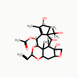 C=CC1OC2CC3OC[C@@]3(O)[C@H]3[C@H](O)C4(C(C)(C)O)C[C@H](O)C(C)=C4[C@H](OC(C)=O)[C@H](O1)C23C